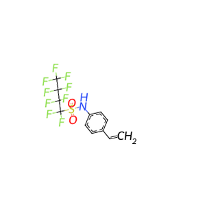 C=Cc1ccc(NS(=O)(=O)C(F)(F)C(F)(F)C(F)(F)C(F)(F)F)cc1